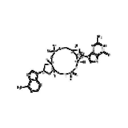 CO[C@H]1[C@H]2OS(=O)(=O)NC[C@H]3O[C@@H](n4cnc5c(N)ncnc54)C[C@@H]3OP(=O)(S)OC[C@H]1O[C@H]2n1cnc2c(=O)[nH]c(N)nc21